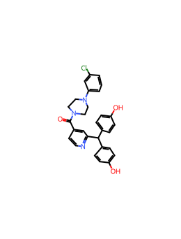 O=C(c1ccnc(C(c2ccc(O)cc2)c2ccc(O)cc2)c1)N1CCN(c2cccc(Cl)c2)CC1